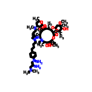 CC[C@H]1OC(=O)[C@H](C)[C@@H](O[C@H]2C[C@@](C)(OC)[C@@H](O)[C@H](C)O2)[C@H](C)[C@@H](O[C@@H]2O[C@H](C)C[C@H](N(C)CCc3cn(CCCCc4ccc(N(N)/C=C(\N)CN(C)C)cc4)[nH]3)[C@H]2O)[C@](C)(O)C[C@@H](C)CN(C)[C@H](C)[C@@H](O)[C@]1(C)O